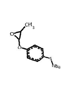 CCCCSc1ccc(OC2OC2C)cc1